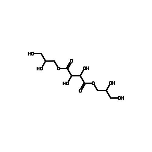 O=C(OCC(O)CO)C(O)C(O)C(=O)OCC(O)CO